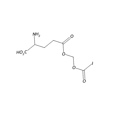 NC(CCC(=O)OCOC(=O)I)C(=O)O